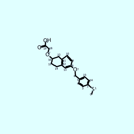 CSc1ccc(COc2ccc3c(c2)CCC(OCC(=O)O)C3)cc1